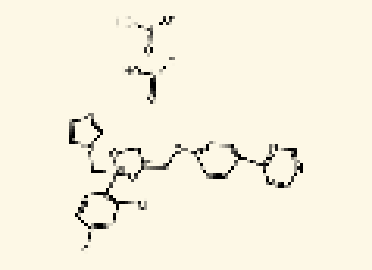 Clc1ccc([C@]2(Cn3ccnc3)OC[C@@H](COc3ccc(-c4ccncn4)cc3)O2)c(Cl)c1.O=[N+]([O-])O.O=[N+]([O-])O